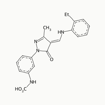 CCc1ccccc1N/C=C1/C(=O)N(c2cccc(NC(=O)O)c2)N=C1C